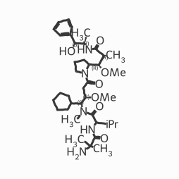 CO[C@H](CC(=O)N1CCCC1[C@H](OC)[C@@H](C)C(=O)N[C@H](C)[C@@H](O)c1ccccc1)[C@H](C1CCCCC1)N(C)C(=O)C(NC(=O)C(C)(C)N)C(C)C